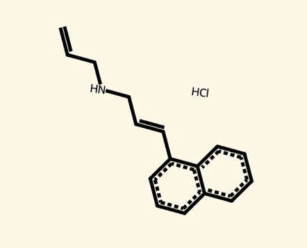 C=CCNC/C=C/c1cccc2ccccc12.Cl